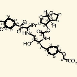 CC(C)C(NC[C@@H](O)[C@H](Cc1ccc(OCC(=O)O)cc1)NC(=O)O[C@H]1CO[C@H]2OCC[C@H]21)S(=O)(=O)c1ccc2c(c1)OCO2